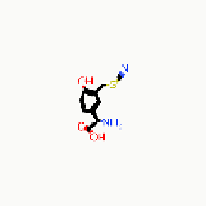 N#CSCc1cc(C(N)C(=O)O)ccc1O